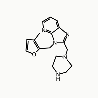 Cc1ccoc1Cn1c(CN2CCNCC2)nc2cccnc21